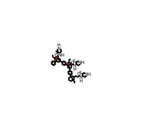 CCC12CCCC(c3ccc(C45CC6(CC)CC(C(=O)N[C@H]7CCNC[C@@H]7F)(C4)CC(c4ccc(C78CC9(CC)CC(C(=O)NC%10CCNCC%10(C)C)(CC(c%10ccccc%10)(C9)C7)C8)cc4)(C6)C5)cc3)(CC(CCC(=O)N[C@@H]3CCNC[C@H]3F)C1)C2